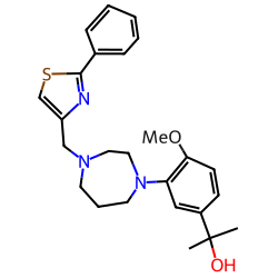 COc1ccc(C(C)(C)O)cc1N1CCCN(Cc2csc(-c3ccccc3)n2)CC1